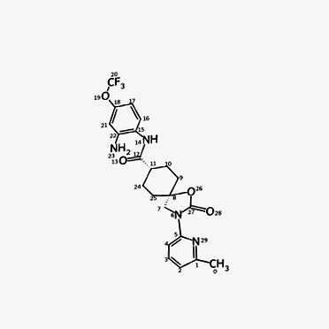 Cc1cccc(N2C[C@]3(CC[C@@H](C(=O)Nc4ccc(OC(F)(F)F)cc4N)CC3)OC2=O)n1